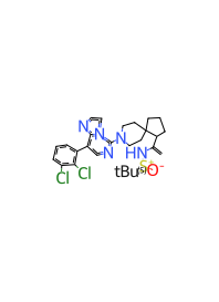 C=C(N[S@+]([O-])C(C)(C)C)C1CCCC12CCN(c1ncc(-c3cccc(Cl)c3Cl)c3nccn13)CC2